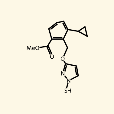 COC(=O)c1cccc(C2CC2)c1COc1ccn(S)n1